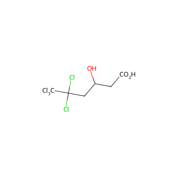 O=C(O)CC(O)CC(Cl)(Cl)C(Cl)(Cl)Cl